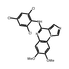 COc1cc2nc(Nc3c(Cl)cc(Cl)cc3Cl)c3cncn3c2cc1OC